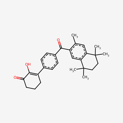 Cc1cc2c(cc1C(=O)c1ccc(C3=C(O)C(=O)CCC3)cc1)C(C)(C)CCC2(C)C